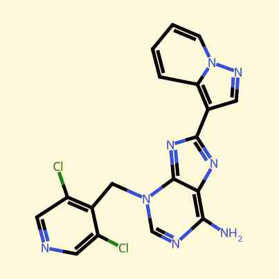 Nc1ncn(Cc2c(Cl)cncc2Cl)c2nc(-c3cnn4ccccc34)nc1-2